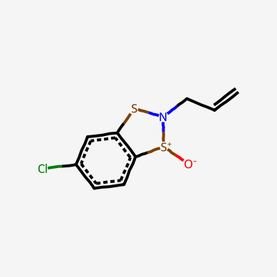 C=CCN1Sc2cc(Cl)ccc2[S+]1[O-]